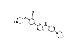 N#Cc1cc(-c2ccnc(Nc3ccc(N4CCOCC4)cc3)n2)ccc1OC1CCNCC1